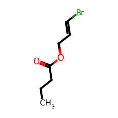 CCCC(=O)OCC=CBr